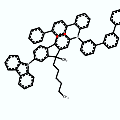 CCCCCCC1(C)c2cc(N(c3cccc(-c4cccc(-c5ccccc5)c4)c3)c3ccccc3-c3ccc(-c4ccccc4)cc3)ccc2-c2ccc(-n3c4ccccc4c4ccccc43)cc21